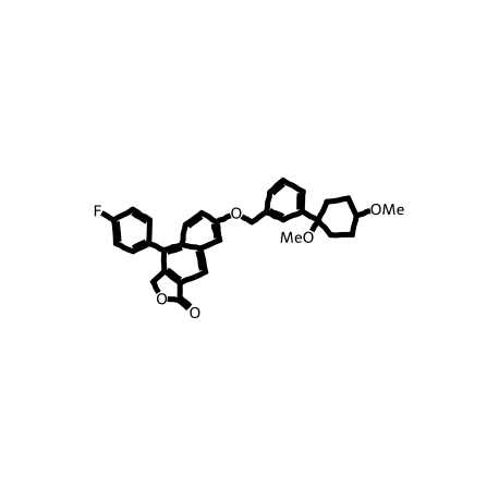 COC1CCC(OC)(c2cccc(COc3ccc4c(-c5ccc(F)cc5)c5c(cc4c3)C(=O)OC5)c2)CC1